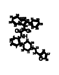 O=C(Nc1cnccc1N1CCN(CCc2ccco2)CC1)C(=O)c1c(-c2ccccc2)cc2ccccn12